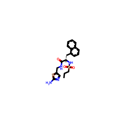 CCCS(=O)(=O)N[C@@H](Cc1cccc2ccccc12)C(=O)NCc1cnc(N)s1